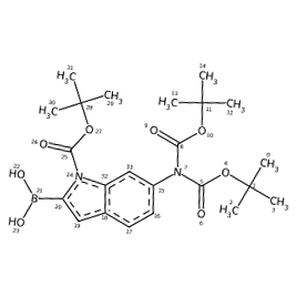 CC(C)(C)OC(=O)N(C(=O)OC(C)(C)C)c1ccc2cc(B(O)O)n(C(=O)OC(C)(C)C)c2c1